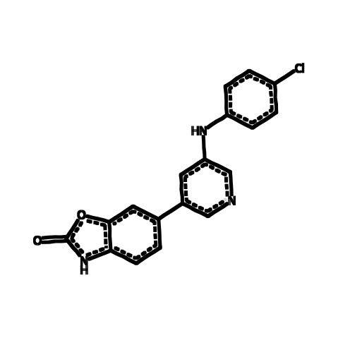 O=c1[nH]c2ccc(-c3cncc(Nc4ccc(Cl)cc4)c3)cc2o1